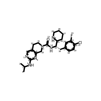 CC(C)Nc1ncc2c(n1)CN(C(=O)N[C@@H](Cc1ccc(Cl)c(F)c1)C1CCCCN1)CC2